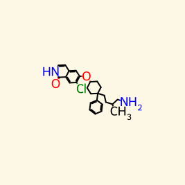 CC(CN)CCC1(c2ccccc2)CCC(Oc2cc3cc[nH]c(=O)c3cc2Cl)CC1